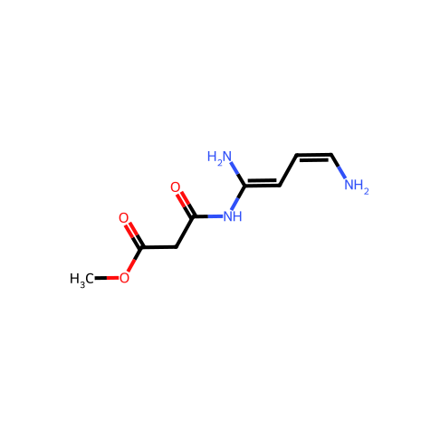 COC(=O)CC(=O)N/C(N)=C/C=C\N